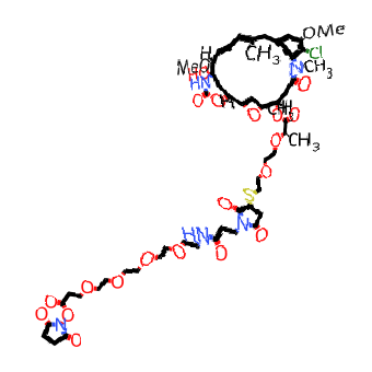 COc1cc2cc(c1Cl)N(C)C(=O)C[C@H](OC(=O)[C@H](C)OCCOCCSC1CC(=O)N(CCC(=O)NCCOCCOCCOCCOCCC(=O)ON3C(=O)CCC3=O)C1=O)[C@@]1(C)CC(O1)[C@@H]1C[C@@](O)(NC(=O)O1)[C@H](OC)/C=C/C=C(\C)C2